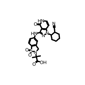 CC(C)(C(=O)O)N1Cc2cc(Nc3nn(C4CCCCC4C#N)c4cc[nH]c(=O)c34)ccc2S1(=O)=O